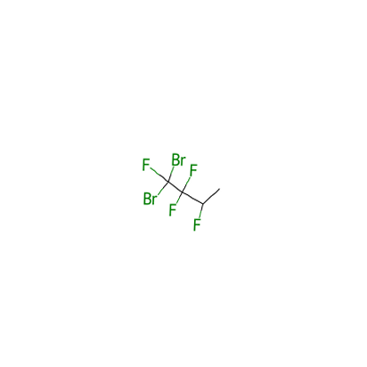 CC(F)C(F)(F)C(F)(Br)Br